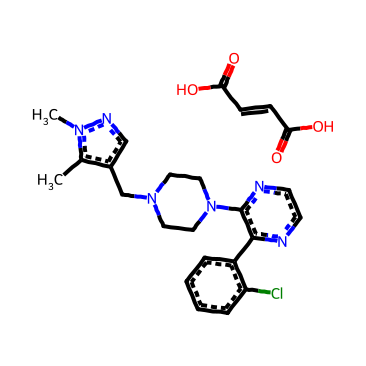 Cc1c(CN2CCN(c3nccnc3-c3ccccc3Cl)CC2)cnn1C.O=C(O)C=CC(=O)O